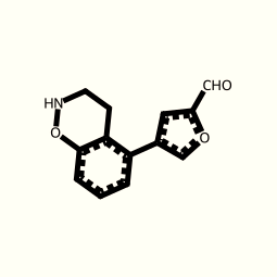 O=Cc1cc(-c2cccc3c2CCNO3)co1